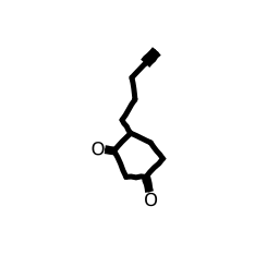 C#CCCCC1CCC(=O)CC1=O